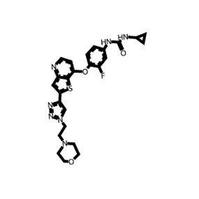 O=C(Nc1ccc(Oc2ccnc3cc(-c4cn(CCN5CCOCC5)nn4)sc23)c(F)c1)NC1CC1